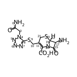 NC(=O)Cn1nnnc1SCC1=C(C(=O)O)N2C(=O)C(N)[C@H]2SC1